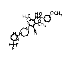 COc1cccc(S(=O)(=O)Nc2c(C)nc(N3CCCN(c4nccc(C(F)(F)F)n4)CC3)c(C#N)c2C)c1